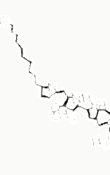 CCCCCCCCCCCC1=N/C(=C/c2[nH]c(-c3cc4cc(OC)ccc4[nH]3)cc2OC)C=C1